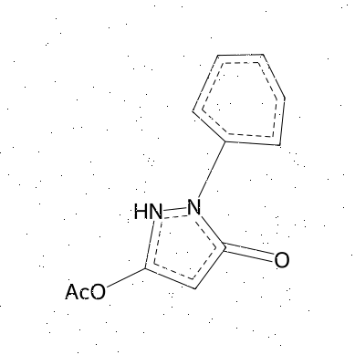 CC(=O)Oc1cc(=O)n(-c2ccccc2)[nH]1